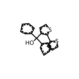 OC(c1ccccc1)(c1ccccc1)c1ccsc1-c1cccs1